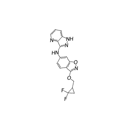 FC1(F)CC1COc1noc2cc(Nc3n[nH]c4cccnc34)ccc12